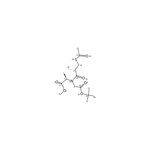 COC(=O)[C@@H](C)N(CC(=O)OC(C)(C)C)C(=O)[C@H](C)CSC(C)=O